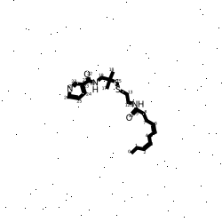 CC/C=C\C/C=C\CCC(=O)NCCSSC(C)(C)CNC(=O)c1cccnc1